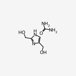 NC(N)=O.OCc1c[nH]c(CO)n1